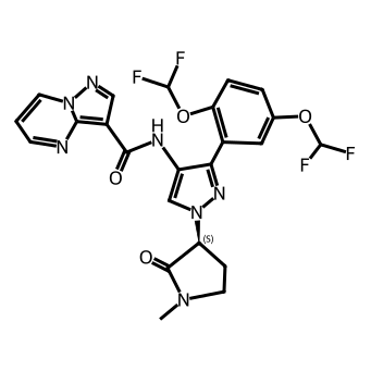 CN1CC[C@H](n2cc(NC(=O)c3cnn4cccnc34)c(-c3cc(OC(F)F)ccc3OC(F)F)n2)C1=O